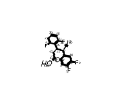 N#C[C@@H](c1ccc(F)c(F)c1)[C@@H](CC(=O)O)c1c(F)cccc1F